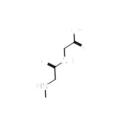 CNCC(=O)NCC(=O)O